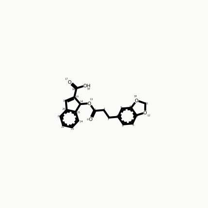 O=C(CCc1ccc2c(c1)OCO2)OC1C(C(=O)O)=Cc2ccccc21